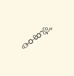 N#C/C(=C\c1ccc2cc(-c3ccc(N4CCOCC4)cc3)oc2c1)C(=O)O